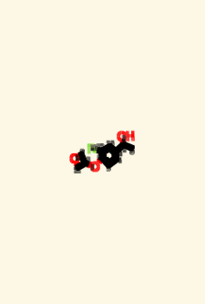 CC(O)c1ccc(OC2COC2)c(F)c1